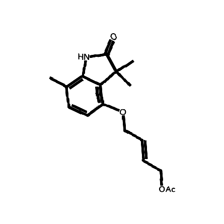 CC(=O)OC/C=C/COc1ccc(C)c2c1C(C)(C)C(=O)N2